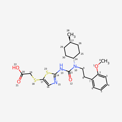 COc1ccccc1CCN(C(=O)Nc1ncc(SCC(=O)O)s1)[C@H]1CC[C@H](C)CC1